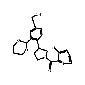 O=C(c1ncccc1Cl)N1CCC(c2ccc(CO)cc2C2OCCCO2)C1